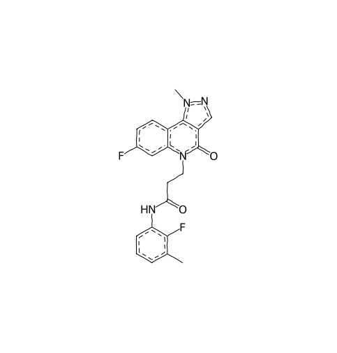 Cc1cccc(NC(=O)CCn2c(=O)c3cnn(C)c3c3ccc(F)cc32)c1F